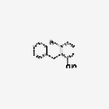 CC(C)c1cccc(C=O)c1Cc1ccccc1